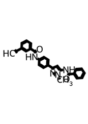 C#Cc1cccc(C(=O)Nc2ccc(-c3cc(NC(=O)c4ccccc4)n(C)n3)cc2)c1